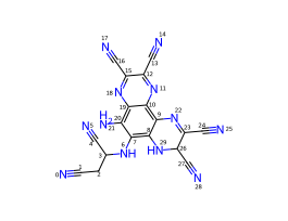 N#CCC(C#N)Nc1c2c(c3nc(C#N)c(C#N)nc3c1N)N=C(C#N)C(C#N)N2